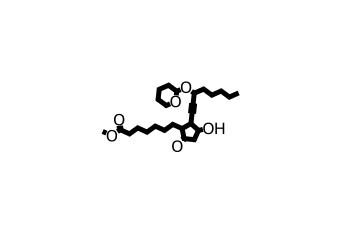 CCCCCC(C#CC1C(O)CC(=O)C1CCCCCCC(=O)OC)OC1CCCCO1